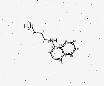 NCCCNc1ccnc2ccccc12